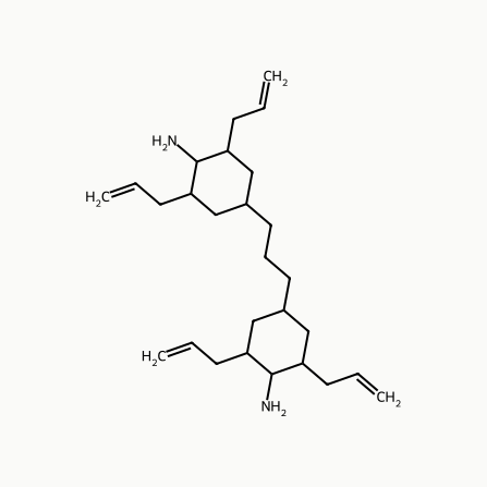 C=CCC1CC(CCCC2CC(CC=C)C(N)C(CC=C)C2)CC(CC=C)C1N